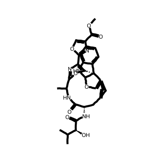 COC(=O)c1coc(-c2nc3oc2[C@@]24c5ccccc5NC2Oc2ccc(cc24)C[C@H](NC(=O)[C@@H](O)C(C)C)C(=O)NC3C)n1